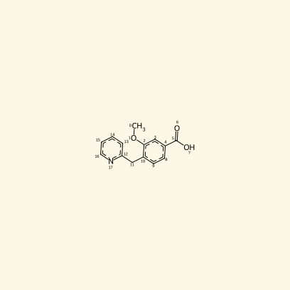 COc1cc(C(=O)O)ccc1Cc1ccccn1